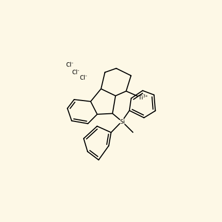 C[Si](c1ccccc1)(c1ccccc1)C1C2C=CC=CC2C2CCC[CH]([Ti+3])C21.[Cl-].[Cl-].[Cl-]